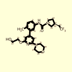 Cc1ccc(NC(=O)N2CC[C@@H](CC(F)(F)F)C2)cc1-c1cc(OCCO)nc(N2CCOCC2)c1